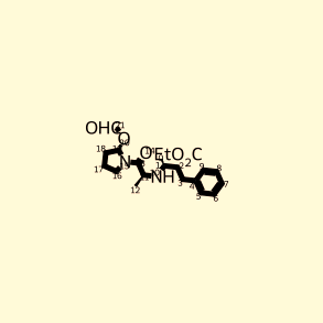 CCOC(=O)[C@H](CCc1ccccc1)N[C@@H](C)C(=O)N1CCC[C@H]1OC=O